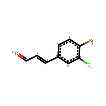 O=CC=Cc1ccc(Br)c(Cl)c1